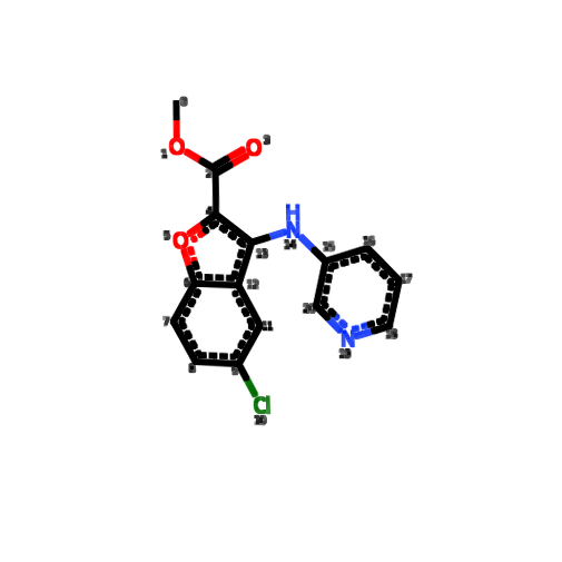 COC(=O)c1oc2ccc(Cl)cc2c1Nc1cccnc1